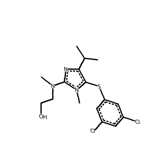 CC(C)c1nc(N(C)CCO)n(C)c1Sc1cc(Cl)cc(Cl)c1